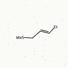 [CH2]CC=CCSC